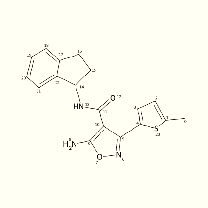 Cc1ccc(-c2noc(N)c2C(=O)NC2CCc3ccccc32)s1